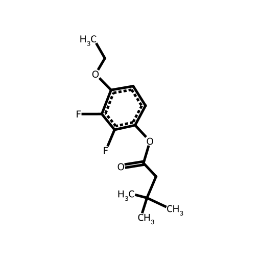 CCOc1ccc(OC(=O)CC(C)(C)C)c(F)c1F